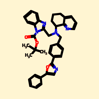 CC(C)(C)OC(=O)n1c(CN(Cc2ccc(-c3ncc(-c4ccccc4)o3)cc2)C2CCCc3cccnc32)nc2ccccc21